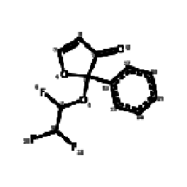 O=C1C=COC1(OC(F)C(F)F)c1ccccc1